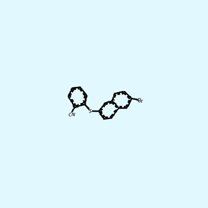 N#Cc1ccccc1Sc1ccc2cc(Br)ccc2c1